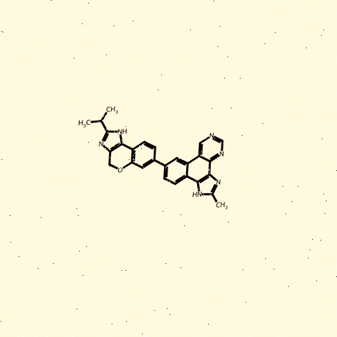 Cc1nc2c3ncncc3c3cc(-c4ccc5c(c4)OCc4nc(C(C)C)[nH]c4-5)ccc3c2[nH]1